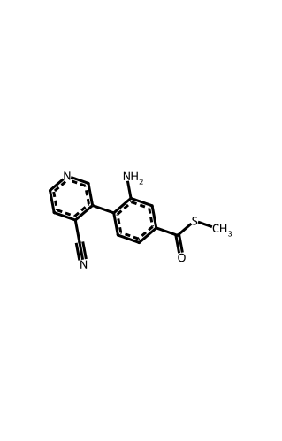 CSC(=O)c1ccc(-c2cnccc2C#N)c(N)c1